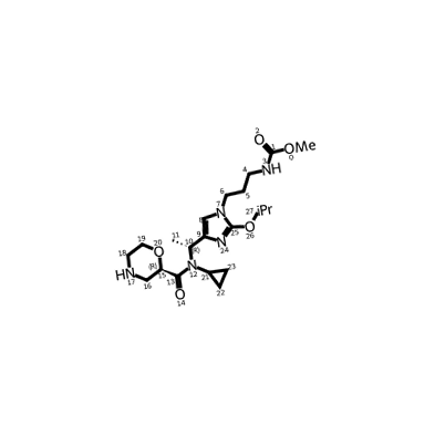 COC(=O)NCCCn1cc([C@@H](C)N(C(=O)[C@H]2CNCCO2)C2CC2)nc1OC(C)C